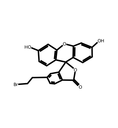 O=C1OC2(c3ccc(O)cc3Oc3cc(O)ccc32)c2cc(CCBr)ccc21